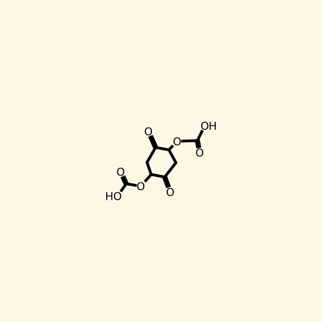 O=C(O)OC1CC(=O)C(OC(=O)O)CC1=O